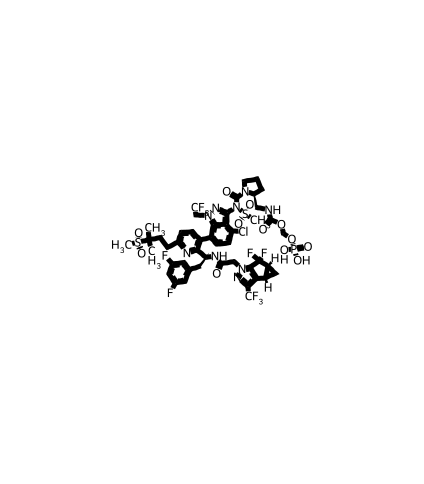 CC(C)(CCc1ccc(-c2ccc(Cl)c3c(N(C(=O)N4CCC[C@H]4CNC(=O)OCOP(=O)(O)O)S(C)(=O)=O)nn(CC(F)(F)F)c23)c([C@H](Cc2cc(F)cc(F)c2)NC(=O)Cn2nc(C(F)(F)F)c3c2C(F)(F)[C@@H]2C[C@H]32)n1)S(C)(=O)=O